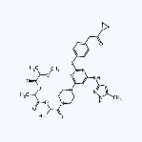 COC(C)C(=O)OC(C)C(=O)OC(C)C(=O)N1CCN(c2cc(Nc3cc(C)[nH]n3)nc(Sc3ccc(CC(=O)C4CC4)cc3)n2)CC1